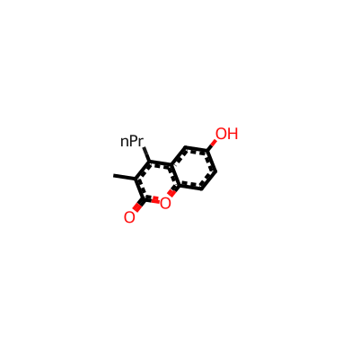 CCCc1c(C)c(=O)oc2ccc(O)cc12